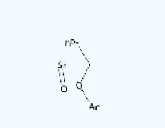 CCCCOC(C)=O.O=[Si]